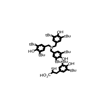 CC(C)(C)c1cc(CC(S)C(=O)O)cc(C(C)(C)C)c1O.CC(C)(C)c1cc(CN(Cc2cc(C(C)(C)C)c(O)c(C(C)(C)C)c2)Cc2cc(C(C)(C)C)c(O)c(C(C)(C)C)c2)cc(C(C)(C)C)c1O